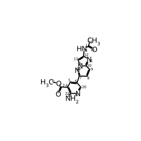 COC(=O)c1cc(-c2ccc3nc(NC(C)=O)cn3n2)cnc1N